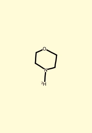 [2H]N1CCOCC1